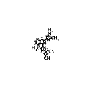 Cc1cn(C2(CC#N)CC(C#N)C2)nc1-c1nc(-c2cc(N)n(C)n2)cc2ncccc12